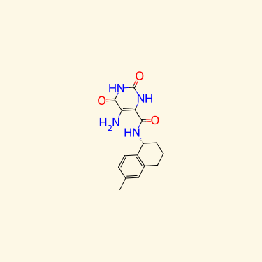 Cc1ccc2c(c1)CCC[C@H]2NC(=O)c1[nH]c(=O)[nH]c(=O)c1N